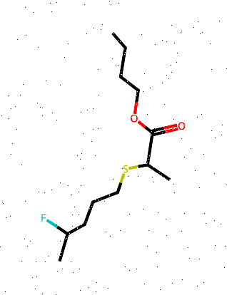 CCCCOC(=O)C(C)SCCCC(C)F